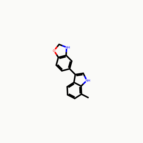 Cc1cccc2c(-c3ccc4c(c3)NCO4)c[nH]c12